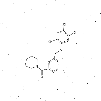 O=C(c1cccc(CSc2cc(Cl)c(Cl)cc2Cl)n1)N1CCCCC1